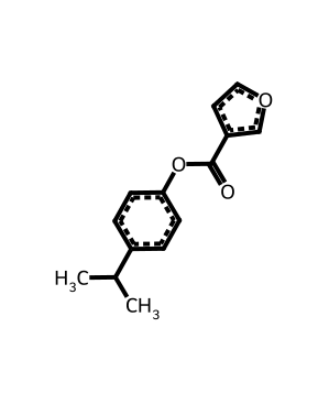 CC(C)c1ccc(OC(=O)c2ccoc2)cc1